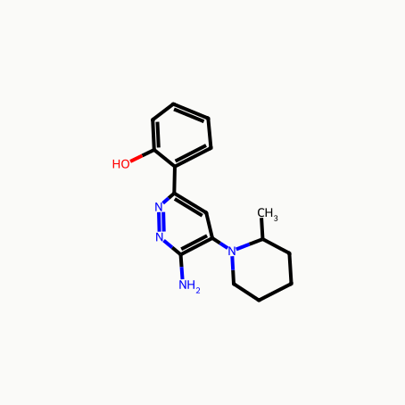 CC1CCCCN1c1cc(-c2ccccc2O)nnc1N